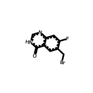 O=c1[nH]cnc2cc(F)c(CBr)cc12